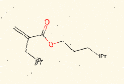 C=C(CC(C)C)C(=O)OCCCC(C)C